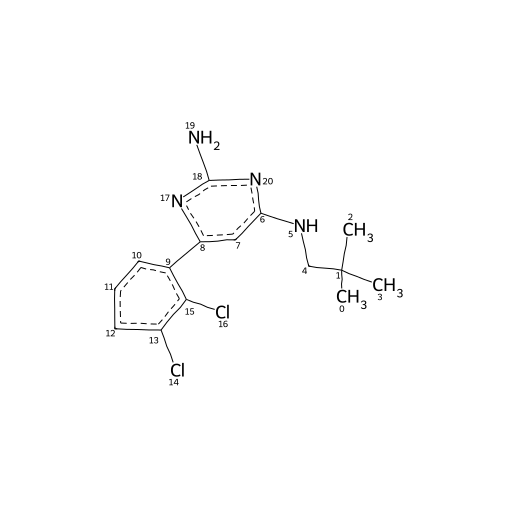 CC(C)(C)CNc1cc(-c2cccc(Cl)c2Cl)nc(N)n1